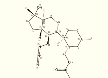 CC(=O)OC[C@H]1C[C@@H](C)CC[C@]1(C)[C@H]1CC[C@@]2(C)[C@@H](CC[C@]2(C)O)[C@@H]1CN=[N+]=[N-]